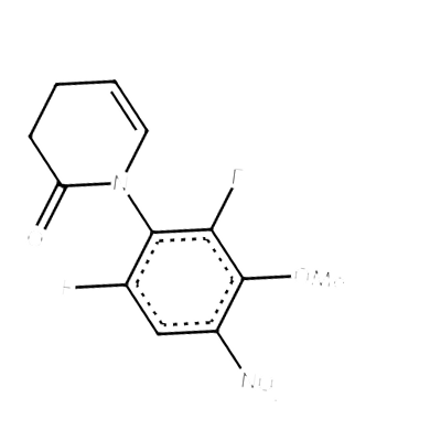 COc1c([N+](=O)[O-])cc(F)c(N2C=CCCC2=O)c1F